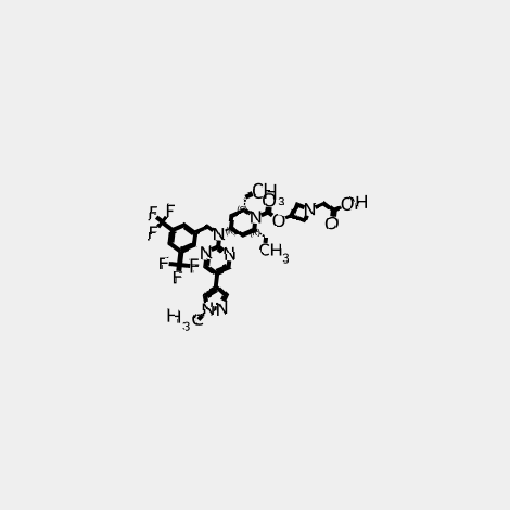 CC[C@@H]1C[C@H](N(Cc2cc(C(F)(F)F)cc(C(F)(F)F)c2)c2ncc(-c3cnn(C)c3)cn2)C[C@H](CC)N1C(=O)OC1CN(CC(=O)O)C1